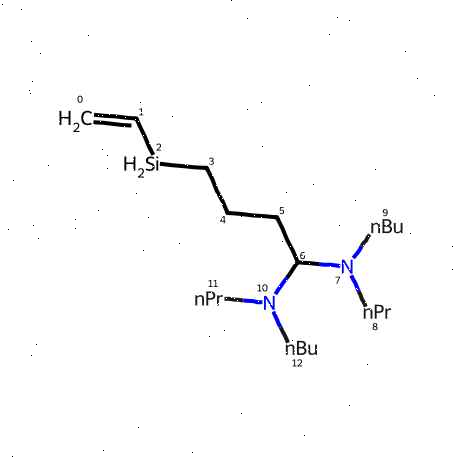 C=C[SiH2]CCCC(N(CCC)CCCC)N(CCC)CCCC